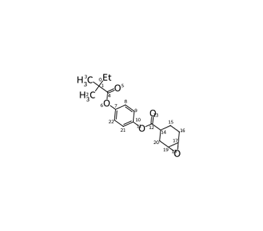 CCC(C)(C)C(=O)Oc1ccc(OC(=O)C2CCC3OC3C2)cc1